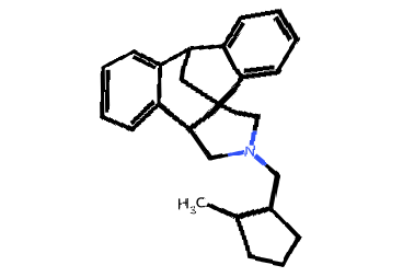 CC1CCCC1CN1CC2c3ccccc3C3CC2(C1)c1ccccc13